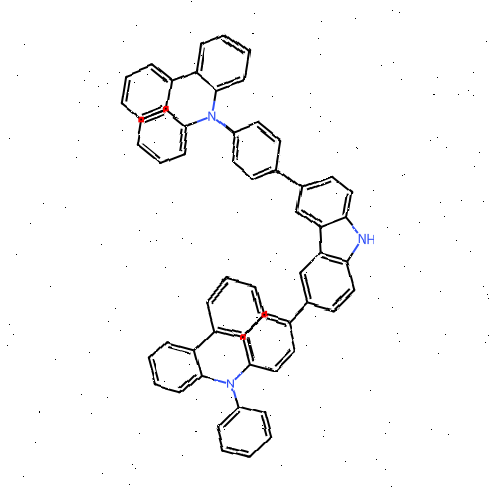 c1ccc(-c2ccccc2N(c2ccccc2)c2ccc(-c3ccc4[nH]c5ccc(-c6ccc(N(c7ccccc7)c7ccccc7-c7ccccc7)cc6)cc5c4c3)cc2)cc1